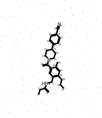 C=C(CC)NCc1cc(C(=C)N2CCC(c3ccc(C#N)cc3)CC2)c(C)cc1CCC